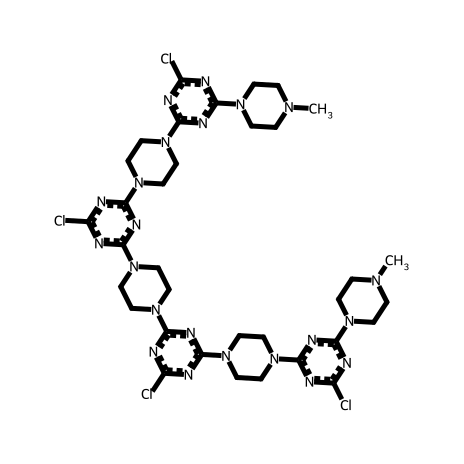 CN1CCN(c2nc(Cl)nc(N3CCN(c4nc(Cl)nc(N5CCN(c6nc(Cl)nc(N7CCN(c8nc(Cl)nc(N9CCN(C)CC9)n8)CC7)n6)CC5)n4)CC3)n2)CC1